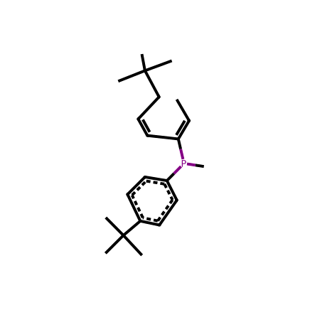 C/C=C(\C=C/CC(C)(C)C)P(C)c1ccc(C(C)(C)C)cc1